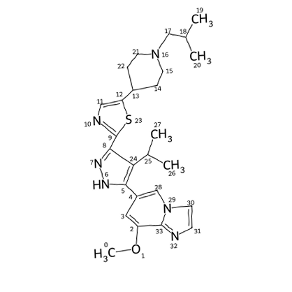 COc1cc(-c2[nH]nc(-c3ncc(C4CCN(CC(C)C)CC4)s3)c2C(C)C)cn2ccnc12